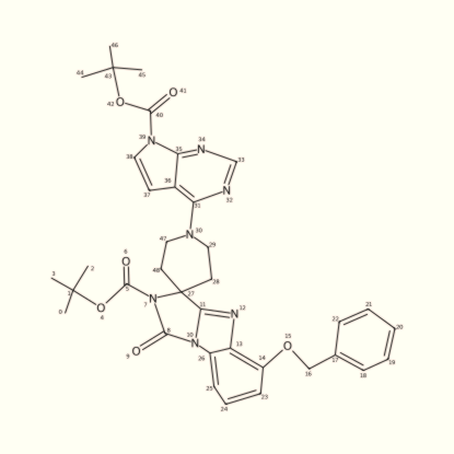 CC(C)(C)OC(=O)N1C(=O)n2c(nc3c(OCc4ccccc4)cccc32)C12CCN(c1ncnc3c1ccn3C(=O)OC(C)(C)C)CC2